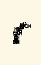 O=C(CNC(=O)c1ccc([N+](=O)[O-])cn1)Nc1ccc(C(=O)O)nc1